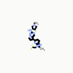 Cc1nc2ccc(-c3ccn4nc(N[C@@H]5CN(C)C[C@@H]5F)ncc34)nc2n1CC(F)F